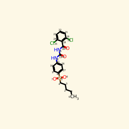 CCCCCS(=O)(=O)c1ccc(NC(=O)NC(=O)c2c(Cl)cccc2Cl)cc1